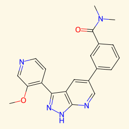 COc1cnccc1-c1n[nH]c2ncc(-c3cccc(C(=O)N(C)C)c3)cc12